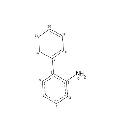 Nc1ccccc1C1=CC=CCC1